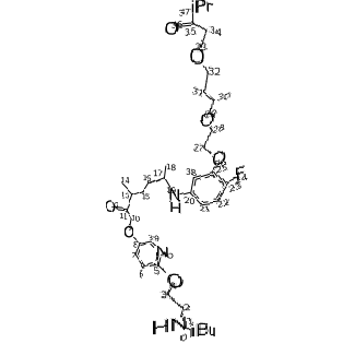 CCC(C)NCCOc1ccc(OCC(=O)C(C)CCC(C)Nc2ccc(F)c(OCCOCCCOCC(=O)C(C)C)c2)cn1